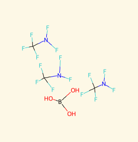 FN(F)C(F)(F)F.FN(F)C(F)(F)F.FN(F)C(F)(F)F.OB(O)O